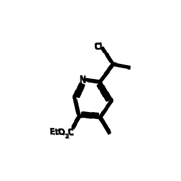 CCOC(=O)c1cnc(C(C)Cl)cc1C